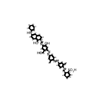 Cc1cc(N=Nc2cc(O)c(N=Nc3ccc4cc(Nc5ccccc5)ccc4c3O)cc2CO)ccc1N=Nc1ccc(N=Nc2ccccc2S(=O)(=O)O)c(C)c1